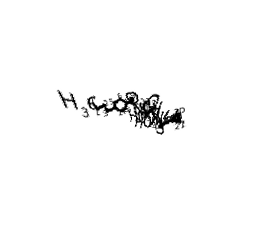 CCCCC1CCC(C(=O)N[C@H]2CO[C@@H]3[C@@H](NC(=O)C4CC4)CO[C@]23O)CC1